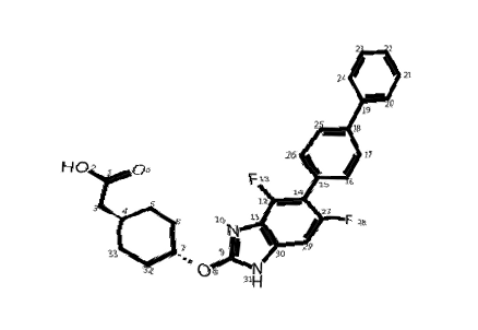 O=C(O)C[C@H]1CC[C@H](Oc2nc3c(F)c(-c4ccc(-c5ccccc5)cc4)c(F)cc3[nH]2)CC1